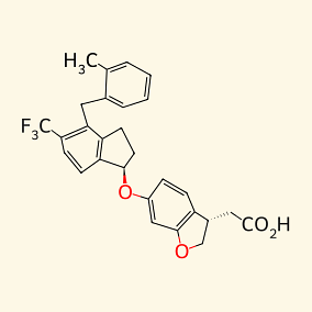 Cc1ccccc1Cc1c(C(F)(F)F)ccc2c1CC[C@H]2Oc1ccc2c(c1)OC[C@H]2CC(=O)O